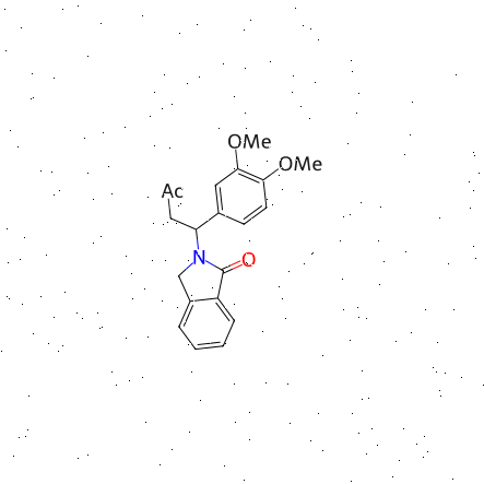 COc1ccc(C(CC(C)=O)N2Cc3ccccc3C2=O)cc1OC